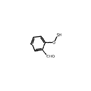 O=Cc1ccccc1OS